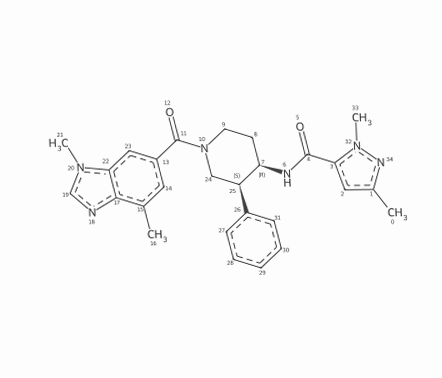 Cc1cc(C(=O)N[C@@H]2CCN(C(=O)c3cc(C)c4ncn(C)c4c3)C[C@@H]2c2ccccc2)n(C)n1